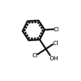 OC(Cl)(Cl)c1ccccc1Cl